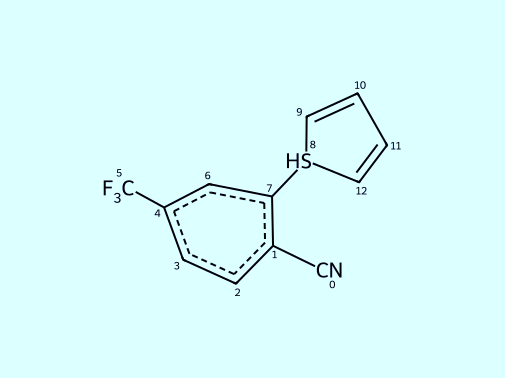 N#Cc1ccc(C(F)(F)F)cc1[SH]1C=CC=C1